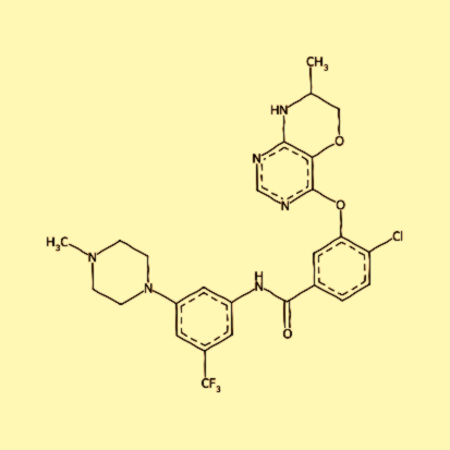 CC1COc2c(ncnc2Oc2cc(C(=O)Nc3cc(N4CCN(C)CC4)cc(C(F)(F)F)c3)ccc2Cl)N1